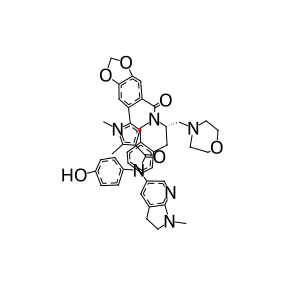 Cc1c(C(=O)N(c2ccc(O)cc2)c2cnc3c(c2)CCN3C)cc(-c2cc3c(cc2C(=O)N2Cc4ccccc4C[C@H]2CN2CCOCC2)OCO3)n1C